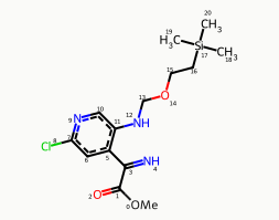 COC(=O)C(=N)c1cc(Cl)ncc1NCOCC[Si](C)(C)C